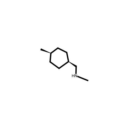 CNC[C@H]1CC[C@@H](C)CC1